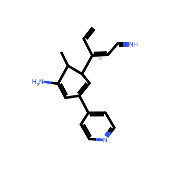 C=C/C(=C\C=N)C1C=C(c2ccncc2)C=C(N)C1C